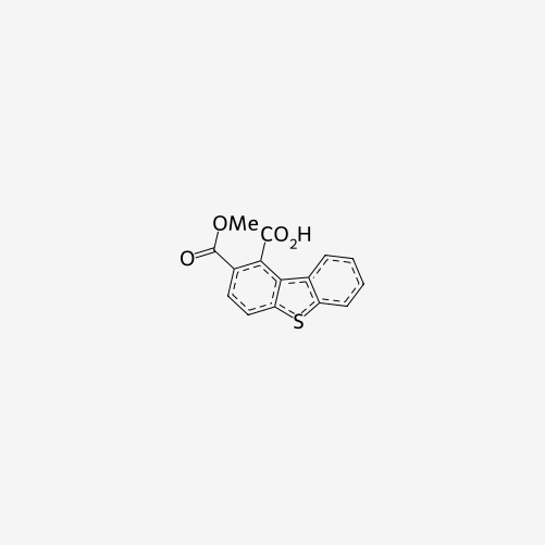 COC(=O)c1ccc2sc3ccccc3c2c1C(=O)O